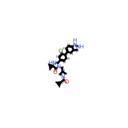 O=C(C1CC1)N1CC(CN2C(=O)C3(CC3)NC2C2=CCC(C3=CC=C4NNCC4C3)C(Cl)=C2)C1